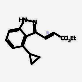 CCOC(=O)/C=C/c1n[nH]c2cccc(C3CC3)c12